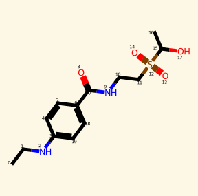 CCNc1ccc(C(=O)NCCS(=O)(=O)C(C)O)cc1